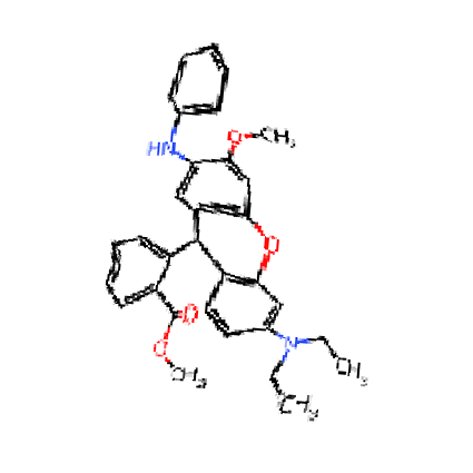 CCN(CC)c1ccc2c(c1)Oc1cc(OC)c(Nc3ccccc3)cc1C2c1ccccc1C(=O)OC